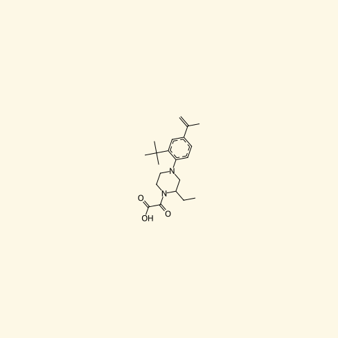 C=C(C)c1ccc(N2CCN(C(=O)C(=O)O)C(CC)C2)c(C(C)(C)C)c1